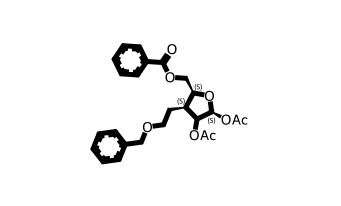 CC(=O)OC1[C@H](OC(C)=O)O[C@H](COC(=O)c2ccccc2)[C@@H]1CCOCc1ccccc1